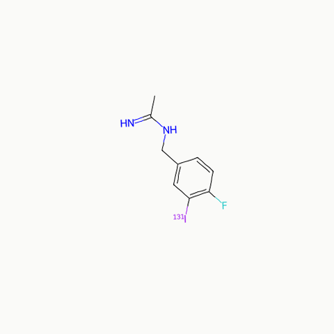 CC(=N)NCc1ccc(F)c([131I])c1